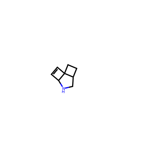 C1=CC23CCC2CNC13